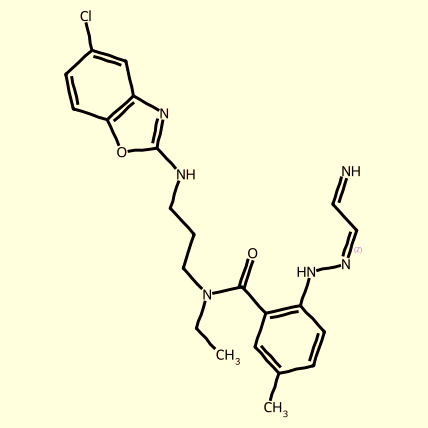 CCN(CCCNc1nc2cc(Cl)ccc2o1)C(=O)c1cc(C)ccc1N/N=C\C=N